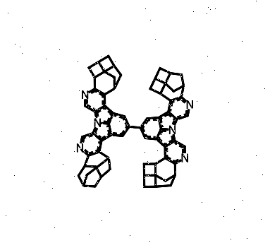 c1c(-c2cc3c4c5c(ncc4n4c6cnc7c(c6c(c2)c34)C2CC3CC4CC7CC432)C2CC3CC4CC5C34C2)cc2c3c4c(ncc3n3c5cnc6c(c5c1c23)C1CC2CC(CC6C2)C1)C1CC2CC3CC4CC321